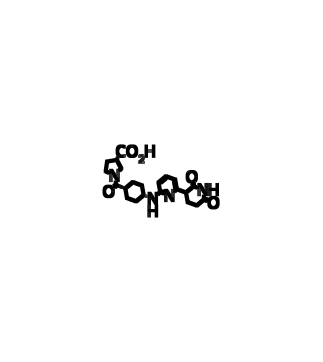 O=C1CCC(c2cccc(N[C@H]3CC[C@H](C(=O)N4CC[C@@H](C(=O)O)C4)CC3)n2)C(=O)N1